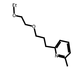 CCOCCOCCCc1cccc(C)n1